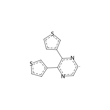 [c]1cnc(-c2ccsc2)c(-c2ccsc2)n1